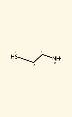 [NH]CCS